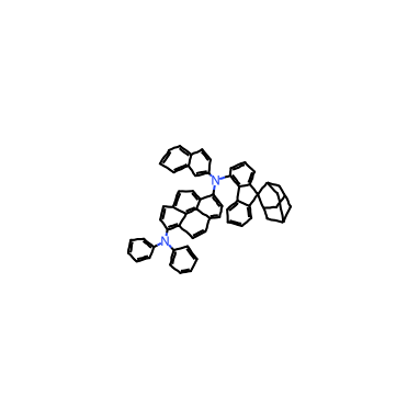 c1ccc(N(c2ccccc2)c2ccc3ccc4c(N(c5ccc6ccccc6c5)c5cccc6c5-c5ccccc5C65C6CC7CC(C6)CC5C7)ccc5ccc2c3c54)cc1